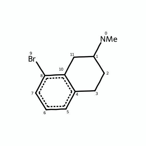 CNC1CCc2cccc(Br)c2C1